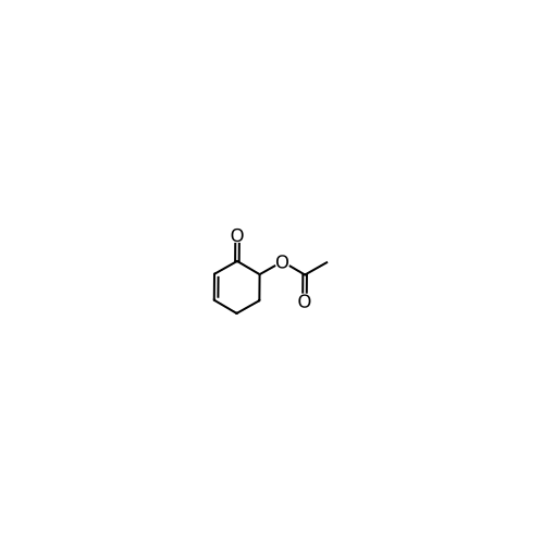 CC(=O)OC1CCC=CC1=O